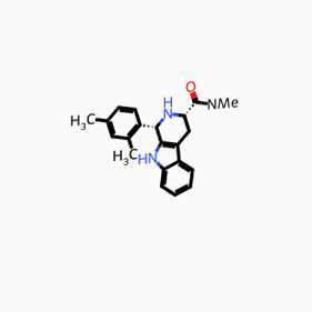 CNC(=O)[C@@H]1Cc2c([nH]c3ccccc23)[C@H](c2ccc(C)cc2C)N1